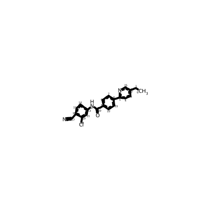 CCc1ccc(-c2ccc(C(=O)Nc3ccc(C#N)c(Cl)c3)cc2)nc1